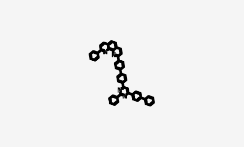 c1ccc(-c2ccc(-c3cc(-c4ccc(-c5ccc(-c6ccc7ccc8ccc(-c9ccccc9)nc8c7n6)cc5)cc4)nc(-c4ccccc4)n3)cc2)cc1